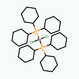 [Cl][Ru]([Cl])([PH](C1CCCCC1)(C1CCCCC1)C1CCCCC1)[PH](C1CCCCC1)(C1CCCCC1)C1CCCCC1